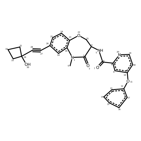 CN1C(=O)C(NC(=O)c2cc(Oc3ccccc3)ccn2)COc2ccc(C#CC3(O)CCC3)cc21